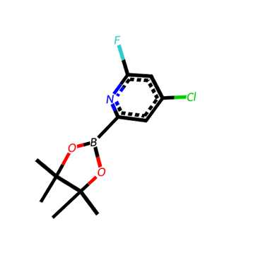 CC1(C)OB(c2cc(Cl)cc(F)n2)OC1(C)C